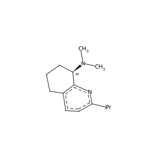 CC(C)c1ccc2c(n1)[C@H](N(C)C)CCC2